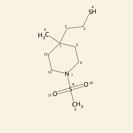 CC1(CCS)CCN(S(C)(=O)=O)CC1